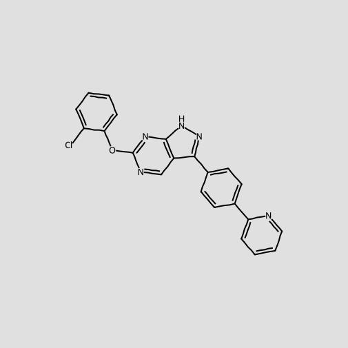 Clc1ccccc1Oc1ncc2c(-c3ccc(-c4ccccn4)cc3)n[nH]c2n1